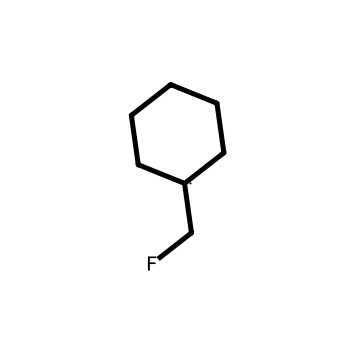 FC[C]1CCCCC1